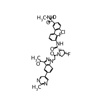 CNS(=O)(=O)c1ccc(Cl)c(-c2cccc(NC(=O)[C@@H]3C[C@@H](F)CN3C(=O)Cn3nc(C(C)=O)c4cc(-c5cnc(C)nc5)ccc43)c2F)c1